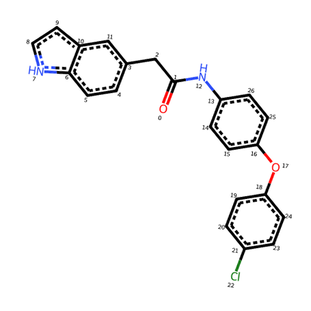 O=C(Cc1ccc2[nH]ccc2c1)Nc1ccc(Oc2ccc(Cl)cc2)cc1